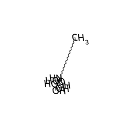 CCCCCCCCCCCCCCCCCCCCCCCCNC(=O)[C@H](O)[C@@H](O)[C@H](O)[C@@H](O)CO